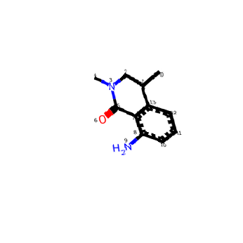 CC1CN(C)C(=O)c2c(N)cccc21